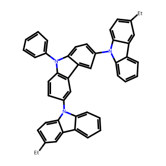 CCc1ccc2c(c1)c1ccccc1n2-c1ccc2c(c1)c1cc(-n3c4ccccc4c4cc(CC)ccc43)ccc1n2-c1ccccc1